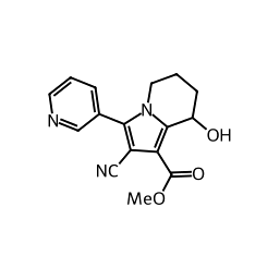 COC(=O)c1c(C#N)c(-c2cccnc2)n2c1C(O)CCC2